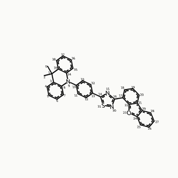 CC1(C)c2ccccc2N(c2ccc(-c3nc(-c4cccc5c4oc4ccccc45)ns3)cc2)c2ccccc21